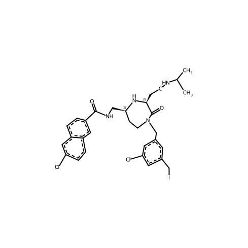 CC(C)NCC[C@@H]1N[C@H](CNC(=O)c2ccc3cc(Cl)ccc3c2)CCN(Cc2cc(Cl)cc(CI)c2)C1=O